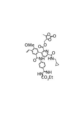 C=Cc1cc(C(=O)Nc2ccc(C(=N)NC(=O)OCC)cc2)c(-c2ccc(C(=O)NCC3CC3)nc2C(=O)OCc2oc(=O)oc2C)cc1OC